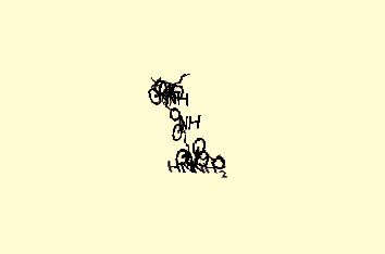 CCCCS(=O)(=O)N[C@@H](Cc1ccc(NC(=O)CCCC(=O)N(C(=N)N)C(=O)OCc2ccccc2)cc1)C(=O)OC(C)(C)C